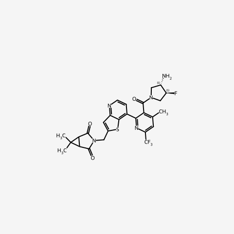 Cc1cc(C(F)(F)F)nc(-c2ccnc3cc(CN4C(=O)C5C(C4=O)C5(C)C)sc23)c1C(=O)N1C[C@H](N)[C@@H](F)C1